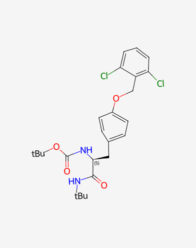 CC(C)(C)NC(=O)[C@H](Cc1ccc(OCc2c(Cl)cccc2Cl)cc1)NC(=O)OC(C)(C)C